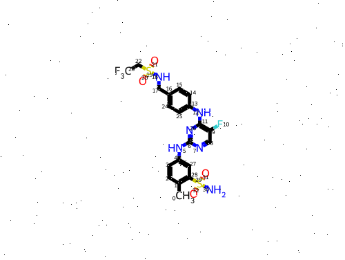 Cc1ccc(Nc2ncc(F)c(Nc3ccc(CNS(=O)(=O)CC(F)(F)F)cc3)n2)cc1S(N)(=O)=O